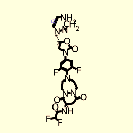 C=NN(/C=C\N)C[C@H]1CN(c2cc(F)c(N3CCN4C(=O)C[C@H](NC(=O)C(F)F)C(=O)N4CC3)c(F)c2)C(=O)O1